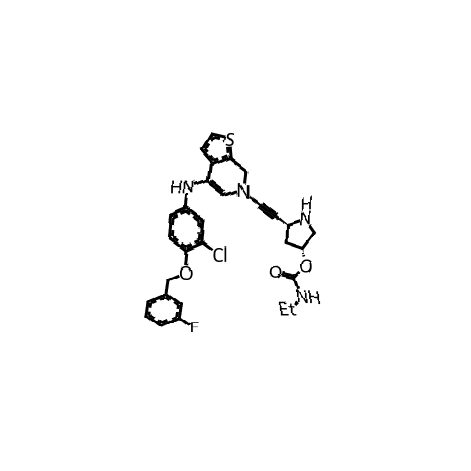 CCNC(=O)O[C@H]1CN[C@H](C#CN2C=C(Nc3ccc(OCc4cccc(F)c4)c(Cl)c3)c3ccsc3C2)C1